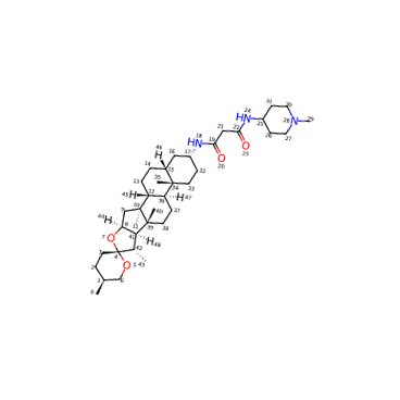 C[C@H]1CC[C@@]2(OC1)O[C@H]1C[C@@]3(C)[C@@H]4CC[C@@H]5C[C@H](NC(=O)CC(=O)NC6CCN(C)CC6)CC[C@]5(C)[C@H]4CC[C@]3(C)[C@H]1[C@@H]2C